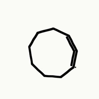 [C]1=C=CCCCCCC1